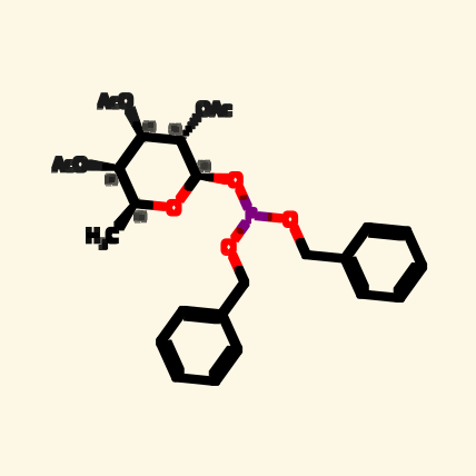 CC(=O)O[C@H]1[C@H](OC(C)=O)[C@@H](OP(OCc2ccccc2)OCc2ccccc2)O[C@@H](C)[C@H]1OC(C)=O